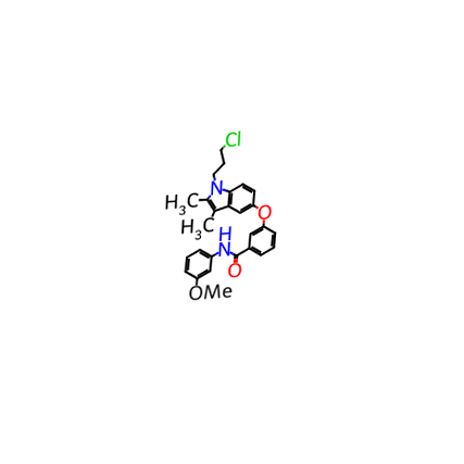 COc1cccc(NC(=O)c2cccc(Oc3ccc4c(c3)c(C)c(C)n4CCCCl)c2)c1